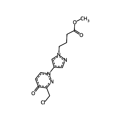 COC(=O)CCCn1cc(-n2ccc(=O)c(CCl)n2)cn1